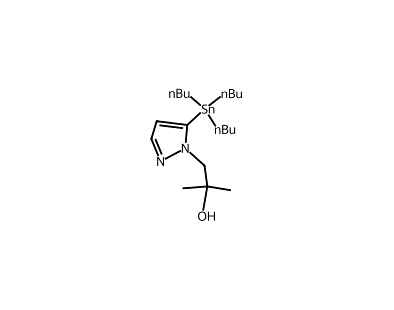 CCC[CH2][Sn]([CH2]CCC)([CH2]CCC)[c]1ccnn1CC(C)(C)O